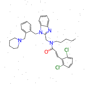 CCCCCN(Cc1nc2ccccc2n1Cc1ccccc1CN1CCCCC1)C(=O)C=Cc1c(Cl)cccc1Cl